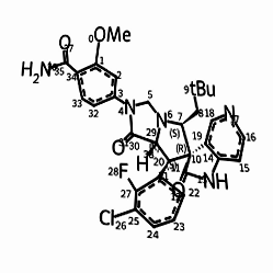 COc1cc(N2CN3[C@@H](CC(C)(C)C)[C@@]4(C(=O)Nc5ccncc54)[C@@H](c4cccc(Cl)c4F)[C@@H]3C2=O)ccc1C(N)=O